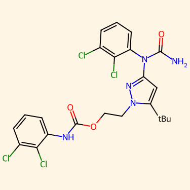 CC(C)(C)c1cc(N(C(N)=O)c2cccc(Cl)c2Cl)nn1CCOC(=O)Nc1cccc(Cl)c1Cl